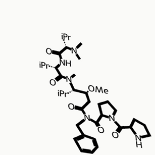 CO[C@H](CC(=O)N(Cc1ccccc1)C(=O)C1CCCN1C(=O)C1CCCN1)[C@H](C(C)C)N(C)C(=O)[C@@H](NC(=O)[C@H](C(C)C)N(C)C)C(C)C